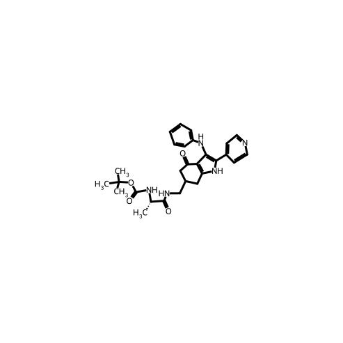 C[C@H](NC(=O)OC(C)(C)C)C(=O)NCC1CC(=O)c2c([nH]c(-c3ccncc3)c2Nc2ccccc2)C1